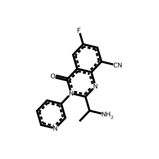 CC(N)c1nc2c(C#N)cc(F)cc2c(=O)n1-c1cccnc1